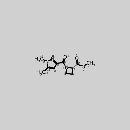 COC(=O)[C@@H]1CCN1C(=O)c1cc(C)n(C)n1